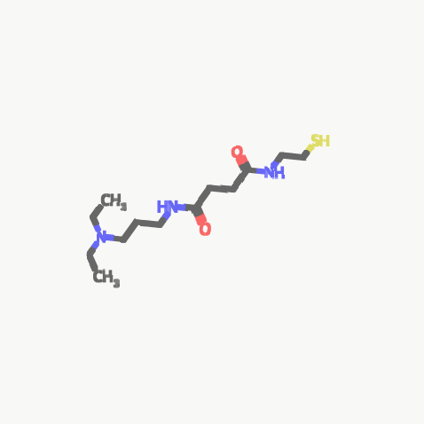 CCN(CC)CCCNC(=O)CCC(=O)NCCS